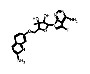 CC1(O)C(COc2ccc3ccc(N)nc3c2)OC(n2cc(F)c3c(N)ncnc32)C1O